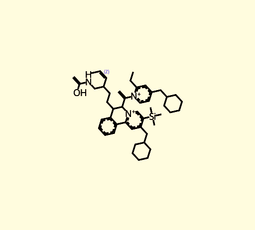 C=C(O)NCC(/C=C\C)CCC1c2ccccc2-c2cc(CC3CCCCC3)c([Si](C)(C)C)c[n+]2C1C(=C)[n+]1ccc(CC2CCCCC2)cc1CC